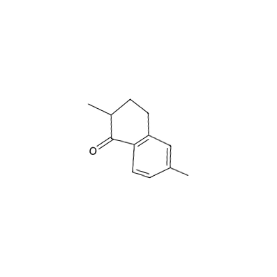 Cc1ccc2c(c1)CCC(C)C2=O